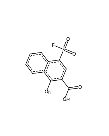 O=C(O)c1cc(S(=O)(=O)F)c2ccccc2c1O